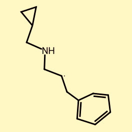 [CH](CNCC1CC1)Cc1ccccc1